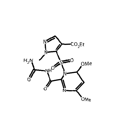 CCOC(=O)c1cnn(C)c1S(=O)(=O)N1C(C(=O)NC(N)=O)=NC(OC)=CC1OC